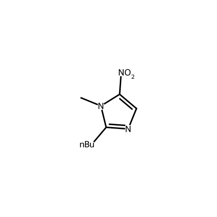 CCCCc1ncc([N+](=O)[O-])n1C